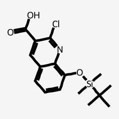 CC(C)(C)[Si](C)(C)Oc1cccc2cc(C(=O)O)c(Cl)nc12